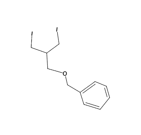 ICC(CI)COCc1ccccc1